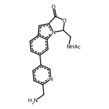 CC(=O)NCC1OC(=O)c2cc3ccc(-c4ccc(CN)nc4)cc3n21